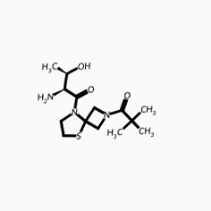 C[C@@H](O)[C@H](N)C(=O)N1CCSC12CN(C(=O)C(C)(C)C)C2